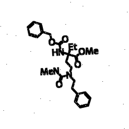 CC[C@@](CCN(CCc1ccccc1)C(=O)NC)(NC(=O)OCc1ccccc1)C(=O)OC